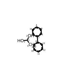 CC(O)O.c1ccc(-c2ccccc2)cc1